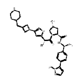 CC(C)[C@@H](C(=O)N1C[C@H](O)C[C@H]1C(=O)N[C@@H](C)c1ccc(-c2ccnn2C)cc1)c1cc(N2CC(CC3CCNCC3)C2)no1